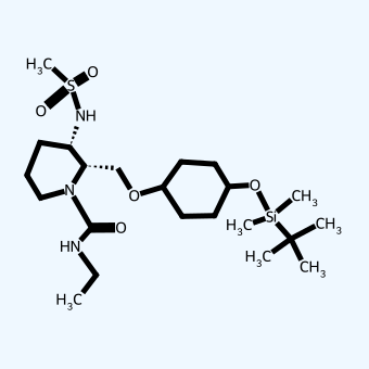 CCNC(=O)N1CCC[C@H](NS(C)(=O)=O)[C@@H]1COC1CCC(O[Si](C)(C)C(C)(C)C)CC1